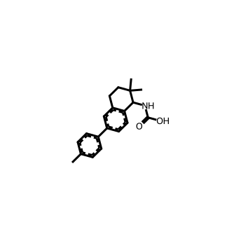 Cc1ccc(-c2ccc3c(c2)CCC(C)(C)C3NC(=O)O)cc1